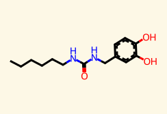 CCCCCCNC(=O)NCc1ccc(O)c(O)c1